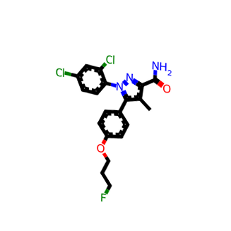 Cc1c(C(N)=O)nn(-c2ccc(Cl)cc2Cl)c1-c1ccc(OCCCF)cc1